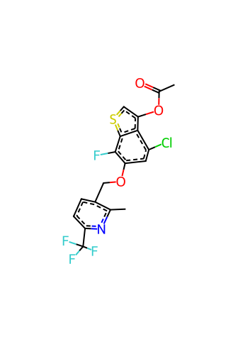 CC(=O)Oc1csc2c(F)c(OCc3ccc(C(F)(F)F)nc3C)cc(Cl)c12